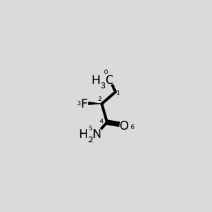 CC[C@H](F)C(N)=O